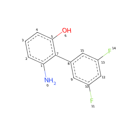 Nc1cccc(O)c1-c1cc(F)cc(F)c1